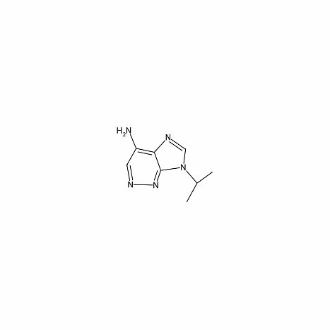 CC(C)n1cnc2c(N)cnnc21